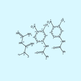 CC(C)C(=O)Nc1ccc([N+](=O)[O-])c(C(F)(F)F)c1.CC(C)C(=O)Nc1ccc([N+](=O)[O-])c(C(F)(F)F)c1.CN(C)C(=N)NC(=N)N